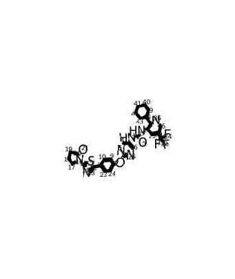 O=C(Nc1cnc(Oc2ccc(-c3cnc(N4CCCC4=O)s3)cc2)nc1)Nc1cc(C(F)(F)F)cnc1C1CCCCC1